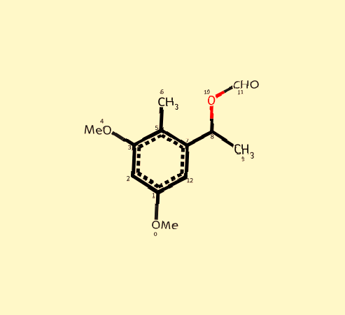 COc1cc(OC)c(C)c(C(C)OC=O)c1